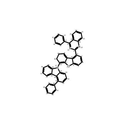 C1=c2c(oc3cccc(-c4nc(-c5ccccc5)c5ccccc5n4)c23)=C(n2c3ccccc3c3c(-c4ccccc4)cccc32)CC1